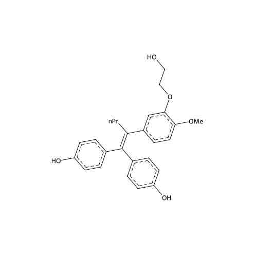 CCCC(=C(c1ccc(O)cc1)c1ccc(O)cc1)c1ccc(OC)c(OCCO)c1